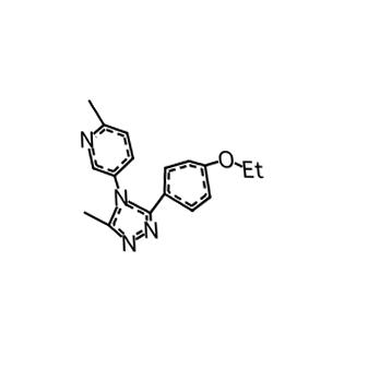 CCOc1ccc(-c2nnc(C)n2-c2ccc(C)nc2)cc1